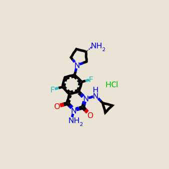 Cl.N[C@H]1CCN(c2cc(F)c3c(=O)n(N)c(=O)n(NC4CC4)c3c2F)C1